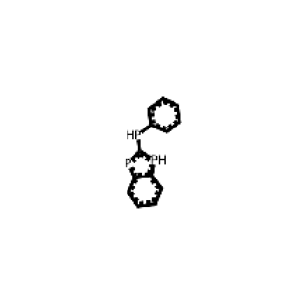 c1ccc(Pc2pc3ccccc3[pH]2)cc1